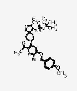 COc1ccc(COc2cc(N3CCC4(CC3)CO[C@@H](C)[C@H]4NC(=O)OC(C)(C)C)c(C(C)=O)nc2Br)cc1